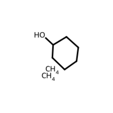 C.C.OC1CCCCC1